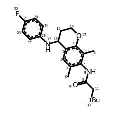 Cc1cc2c(c(C)c1NC(=O)CC(C)(C)C)OCCC2Nc1ccc(F)cc1